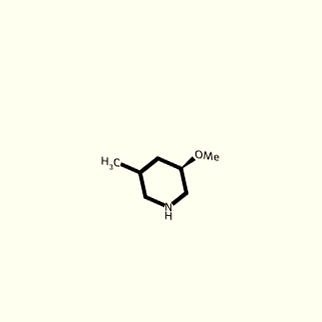 CO[C@H]1CNCC(C)C1